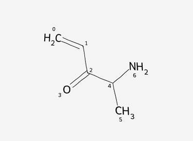 C=CC(=O)C(C)N